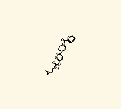 O=C(NCCC1CC1)Oc1ccc(N2CCN(C(=O)c3ccccn3)CC2)nn1